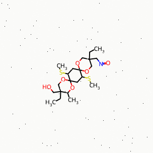 CCC1(CN=O)COC2(CC(SC)C3(CC2SC)OCC(CC)(CO)C(C)O3)OC1